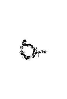 CC1=C\C(O[Si](C)(C)C(C)(C)C)C[C@@H](F)Cc2nc(co2)C(=O)N2CCC[C@@H]2C(=O)O[C@H](C(C)C)[C@H](CC(=O)NCCN=[N+]=[N-])/C=C/C(=O)NC\C=C\1